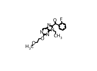 CCn1c(C(=O)c2ccccc2F)nc2cnc(OCCOC)nc21